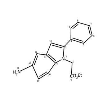 CCOC(=O)Cn1c(-c2ccccc2)cc2cc(N)ccc21